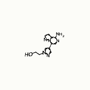 Nc1ncc(-c2cnn(CCO)c2)n2nccc12